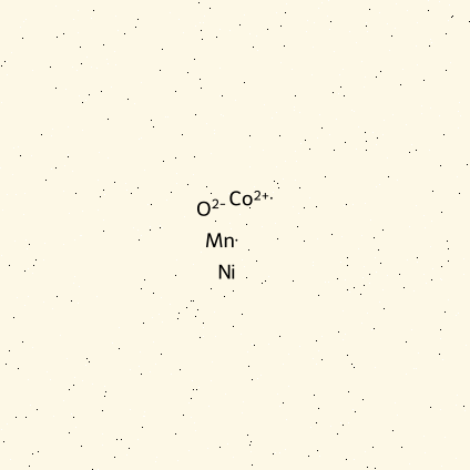 [Co+2].[Mn].[Ni].[O-2]